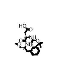 COC[C@H](Cc1ccccc1)NC(=O)[C@@H](CC(=O)O)NC(=O)OC(C)(C)C